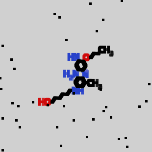 CCCCOC1=C/C(=N/c2ccc(NCCCCCCO)cc2C)C(N)=CC1=N